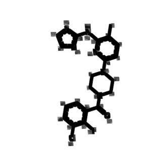 Cc1ccc(N2CCN(C(=O)c3cccc(Cl)c3F)CC2)nc1Nc1nccs1